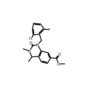 COC(=O)c1ccc2c(c1)N(Cc1c(F)cccc1Cl)C(=O)N(C)C2C